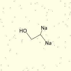 OC[CH]([Na])[Na]